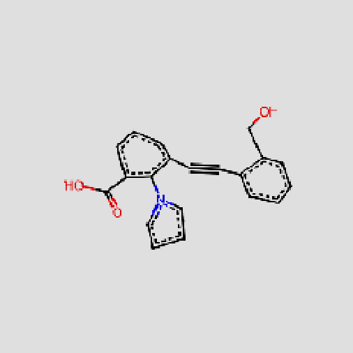 O=C(O)c1cccc(C#Cc2ccccc2CO)c1-n1cccc1